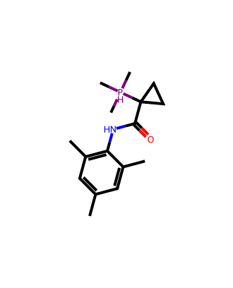 Cc1cc(C)c(NC(=O)C2([PH](C)(C)C)CC2)c(C)c1